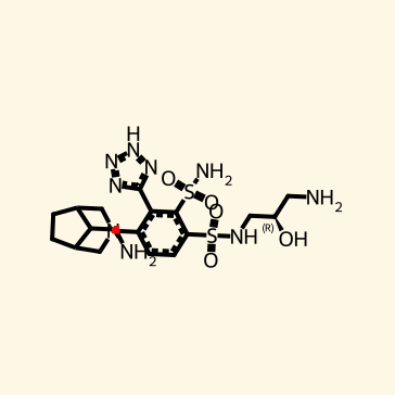 NCC1C2CCC1CN(c1ccc(S(=O)(=O)NC[C@H](O)CN)c(S(N)(=O)=O)c1-c1nn[nH]n1)C2